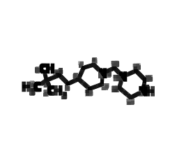 CC(C)(C)CCC1CCN(CN2CCNCC2)CC1